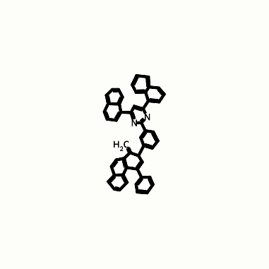 C=C1c2ccc3ccccc3c2C(c2ccccc2)=CC1c1cccc(-c2nc(-c3cccc4ccccc34)cc(-c3cccc4ccccc34)n2)c1